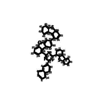 c1ccc2cc(-c3nc(-c4cccc5c4sc4ccccc45)nc(-c4cccc5oc6cc(-c7cccc8sc9ccccc9c78)ccc6c45)n3)ccc2c1